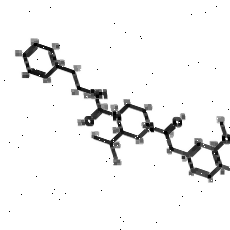 COc1ccc(CC(=O)N2CCN(C(=O)NCCc3ccccc3)C(C(C)C)C2)cc1OC